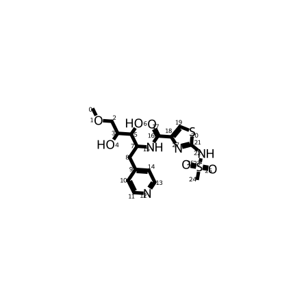 COCC(O)C(O)C(Cc1ccncc1)NC(=O)c1csc(NS(C)(=O)=O)n1